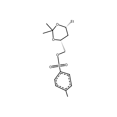 CC[C@@H]1C[C@H](COS(=O)(=O)c2ccc(C)cc2)OC(C)(C)O1